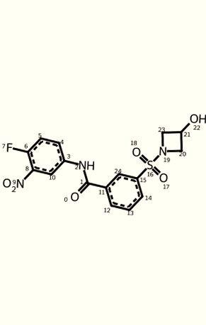 O=C(Nc1ccc(F)c([N+](=O)[O-])c1)c1cccc(S(=O)(=O)N2CC(O)C2)c1